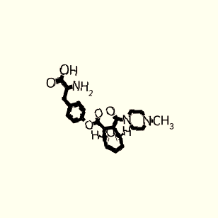 CN1CCN(C(=O)C2C(C(=O)Oc3ccc(CC(N)C(=O)O)cc3)[C@H]3C=CC[C@@H]2O3)CC1